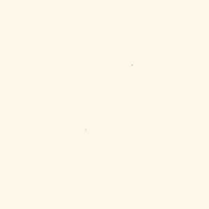 OCc1sc(Br)c(Br)c1F